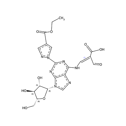 CCOC(=O)c1cnn(-c2nc(N/C=C(\C=O)C(=O)O)c3ncn([C@@H]4O[C@H](CO)[C@@H](O)[C@@H]4O)c3n2)c1